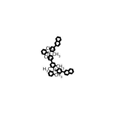 Cc1cc(-c2ccc(N(c3ccc(-c4ccc5ccccc5c4)cc3)c3c(C)cccc3C)c(C)c2)ccc1N(c1ccc(-c2ccc3ccccc3c2)cc1)c1c(C)cccc1C